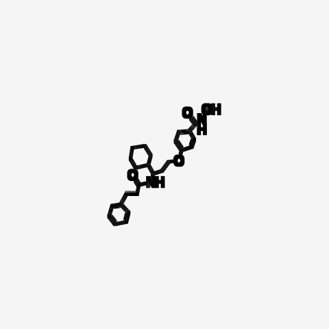 O=C(/C=C/c1ccccc1)NC(CCOc1ccc(C(=O)NO)cc1)C1CCCCC1